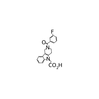 O=C(O)Cn1c2c(c3ccccc31)CN(C(=O)c1cccc(F)c1)CC2